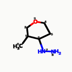 CC1COCCC1NN